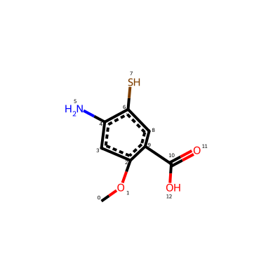 COc1cc(N)c(S)cc1C(=O)O